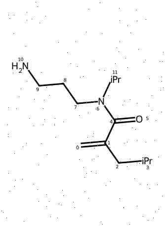 C=C(CC(C)C)C(=O)N(CCCN)C(C)C